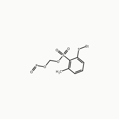 CCSc1cccc(C)c1S(=O)(=O)OCOP=O